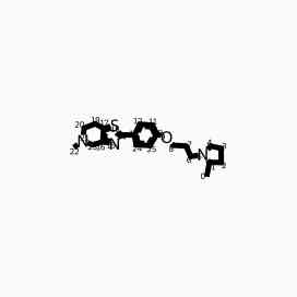 CC1CCCN1CCCOc1ccc(-c2nc3c(s2)CCN(C)C3)cc1